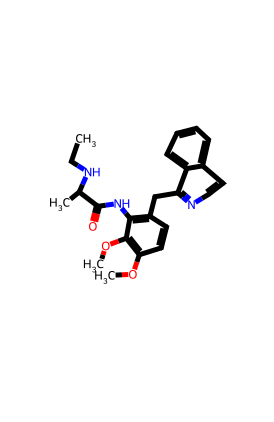 CCNC(C)C(=O)Nc1c(Cc2nccc3ccccc23)ccc(OC)c1OC